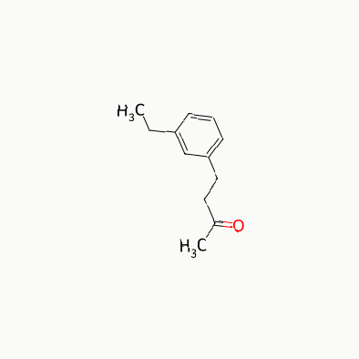 CCc1cccc(CCC(C)=O)c1